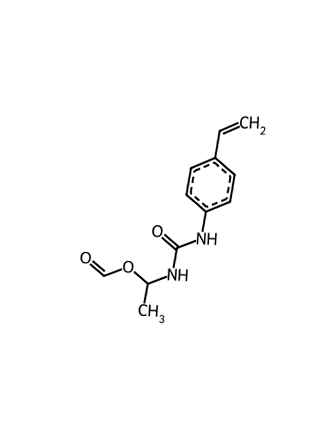 C=Cc1ccc(NC(=O)NC(C)OC=O)cc1